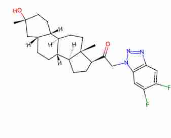 C[C@@]1(O)CC[C@H]2[C@H](CC[C@@H]3[C@@H]2CC[C@]2(C)[C@@H](C(=O)Cn4nnc5cc(F)c(F)cc54)CC[C@@H]32)C1